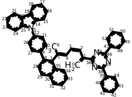 C=C(/C=C\C=C(/C)c1c(-c2ccc(-n3c4ccccc4c4ccccc43)cc2)ccc2ccccc12)c1nc(-c2ccccc2)nc(-c2ccccc2)n1